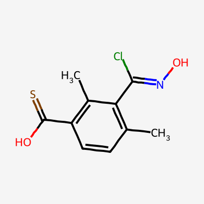 Cc1ccc(C(O)=S)c(C)c1C(Cl)=NO